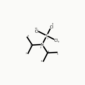 CC(C)N(C(C)C)S(Cl)(Cl)Cl